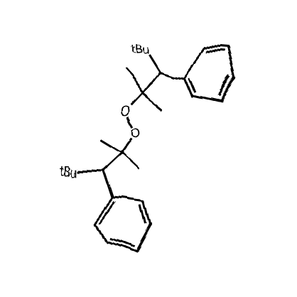 CC(C)(C)C(c1ccccc1)C(C)(C)OOC(C)(C)C(c1ccccc1)C(C)(C)C